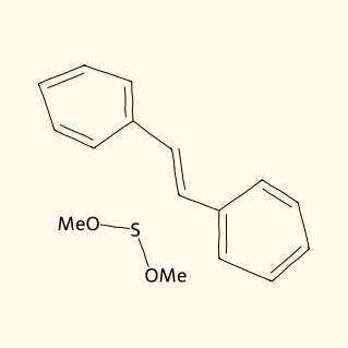 C(=Cc1ccccc1)c1ccccc1.COSOC